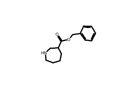 O=C(OCc1ccccc1)C1CCCCNC1